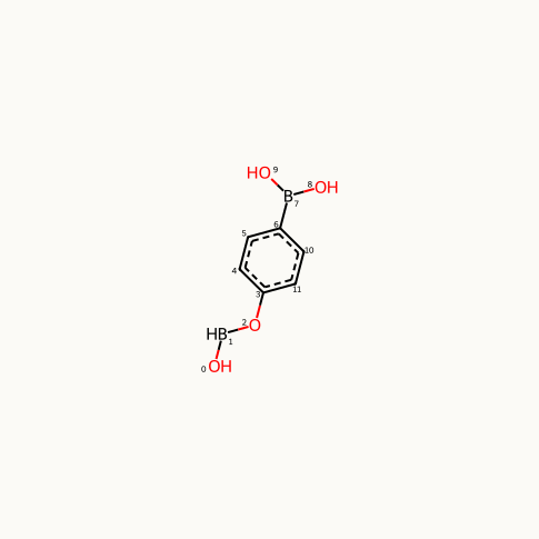 OBOc1ccc(B(O)O)cc1